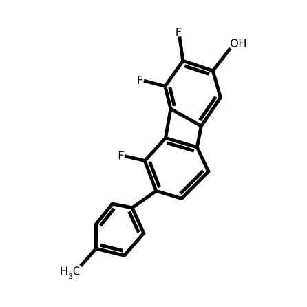 Cc1ccc(-c2ccc3c(c2F)-c2c-3cc(O)c(F)c2F)cc1